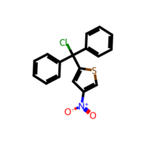 O=[N+]([O-])c1csc(C(Cl)(c2ccccc2)c2ccccc2)c1